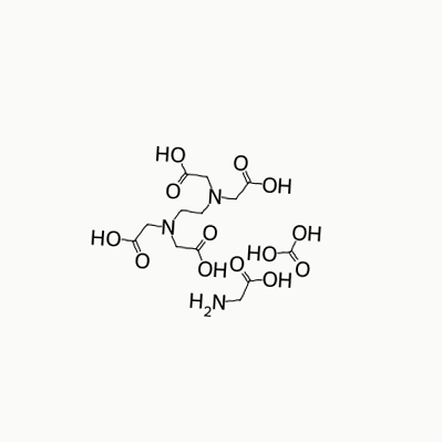 NCC(=O)O.O=C(O)CN(CCN(CC(=O)O)CC(=O)O)CC(=O)O.O=C(O)O